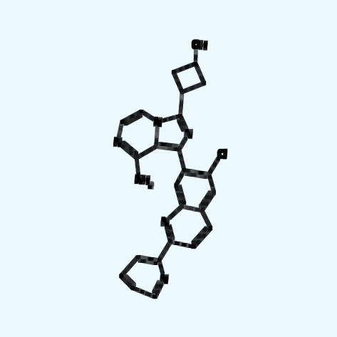 Nc1nccn2c(C3CC(O)C3)nc(-c3cc4nc(-c5ccccn5)ccc4cc3Cl)c12